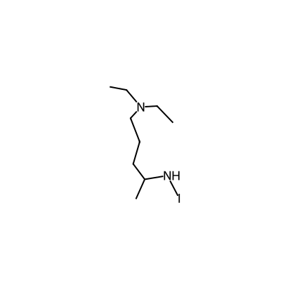 CCN(CC)CCCC(C)NI